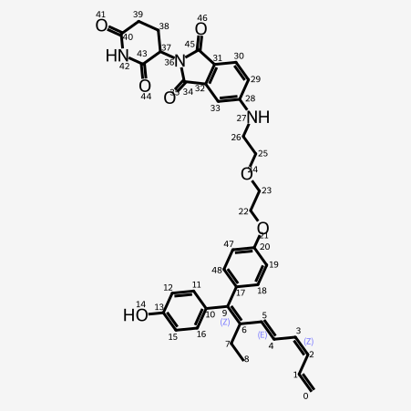 C=C\C=C/C=C/C(CC)=C(/c1ccc(O)cc1)c1ccc(OCCOCCNc2ccc3c(c2)C(=O)N(C2CCC(=O)NC2=O)C3=O)cc1